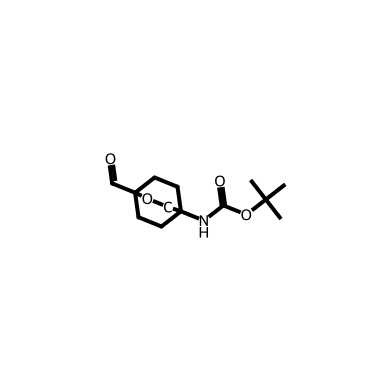 CC(C)(C)OC(=O)NC12CCC(C=O)(CC1)OC2